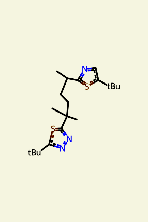 CC(CCC(C)(C)c1nnc(C(C)(C)C)s1)c1ncc(C(C)(C)C)s1